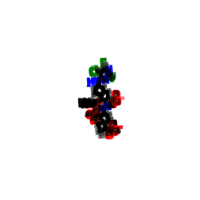 O=S(=O)([O-])c1cc2cc(Nc3nc(F)nc(F)c3Cl)ccc2c(O)c1N=Nc1ccc2c(S(=O)(=O)[O-])cccc2c1S(=O)(=O)[O-].[Na+].[Na+].[Na+]